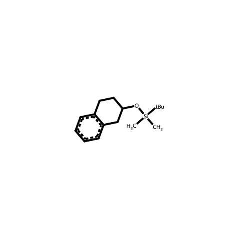 CC(C)(C)[Si](C)(C)OC1CCc2cc[c]cc2C1